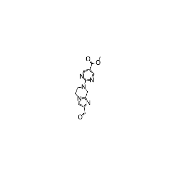 COC(=O)c1cnc(N2CCn3cc(C=O)nc3C2)nc1